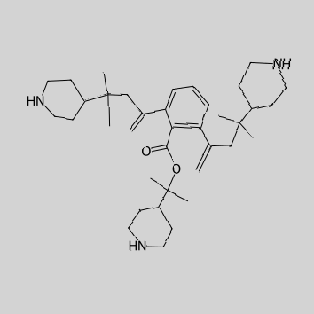 C=C(CC(C)(C)C1CCNCC1)c1cccc(C(=C)CC(C)(C)C2CCNCC2)c1C(=O)OC(C)(C)C1CCNCC1